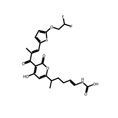 CC(=Cc1ccc(OCC(F)F)s1)C(=O)c1c(O)cc(C(C)CC/C=C/NC(=O)O)oc1=O